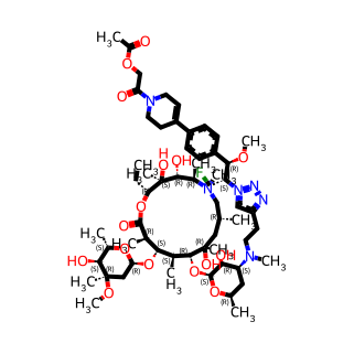 CC[C@H]1OC(=O)[C@H](C)[C@@H](O[C@H]2C[C@@](C)(OC)[C@@H](O)[C@H](C)O2)[C@H](C)[C@@H](O[C@@H]2O[C@H](C)C[C@H](N(C)CCc3cn([C@H](CF)[C@H](OC)c4ccc(C5=CCN(C(=O)COC(C)=O)CC5)cc4)nn3)[C@H]2O)[C@](C)(O)C[C@@H](C)CN(C)[C@H](C)[C@@H](O)[C@]1(C)O